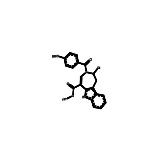 CCCOC(=O)C1=CN(C(=O)c2ccc(OC)cc2)C(CC)Cc2c1[nH]c1ccccc21